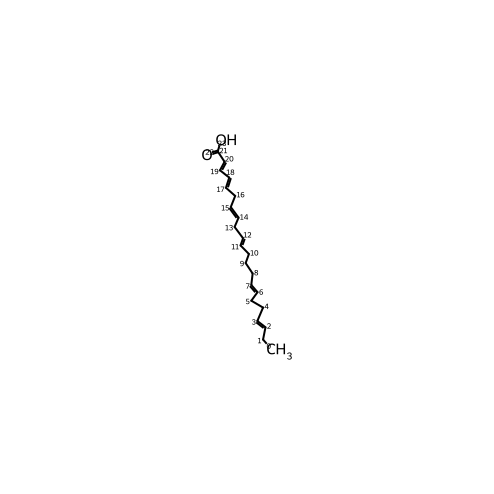 CCC=CCCC=CCCCC=CCC=CCC=CC=CC(=O)O